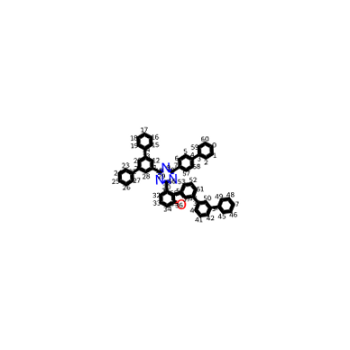 c1ccc(-c2ccc(-c3nc(-c4cc(-c5ccccc5)cc(-c5ccccc5)c4)nc(-c4cccc5oc6c(-c7cccc(-c8ccccc8)c7)cccc6c45)n3)cc2)cc1